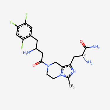 NC(=O)[C@H](N)Cc1nc(C(F)(F)F)n2c1CN(C(=O)CC(N)Cc1cc(F)c(F)cc1F)CC2